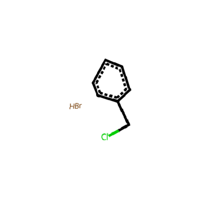 Br.ClCc1ccccc1